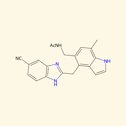 CC(=O)NCc1cc(C)c2[nH]ccc2c1Cc1nc2cc(C#N)ccc2[nH]1